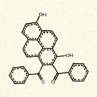 O=C(c1ccccc1)c1c(O)c2ccc3c(O)ccc4ccc(c1C(=O)c1ccccc1)c2c43